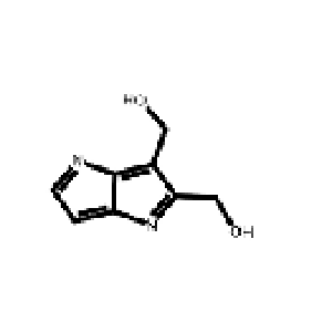 OCC1=NC2=CC=NC2=C1CO